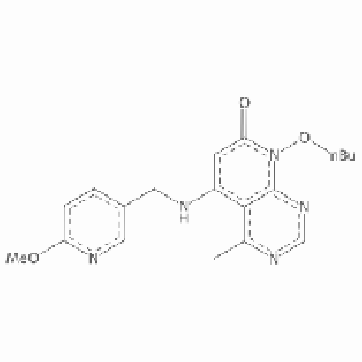 CCCCOn1c(=O)cc(NCc2ccc(OC)nc2)c2c(C)ncnc21